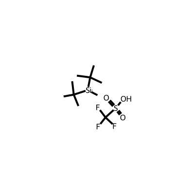 C[Si](C(C)(C)C)C(C)(C)C.O=S(=O)(O)C(F)(F)F